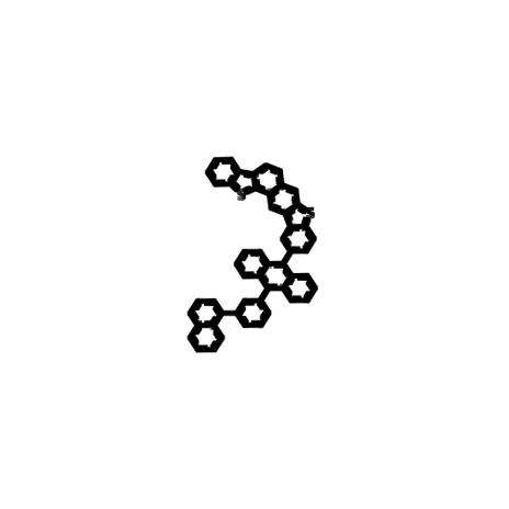 c1cc(-c2cccc3ccccc23)cc(-c2c3ccccc3c(-c3ccc4sc5cc6ccc7c8ccccc8sc7c6cc5c4c3)c3ccccc23)c1